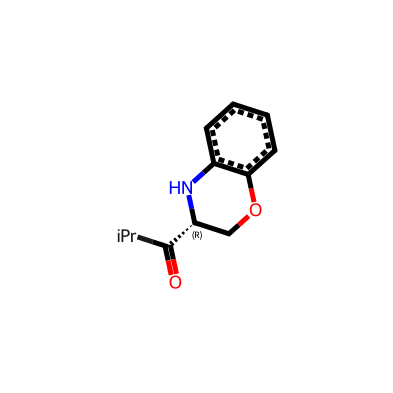 CC(C)C(=O)[C@H]1COc2ccccc2N1